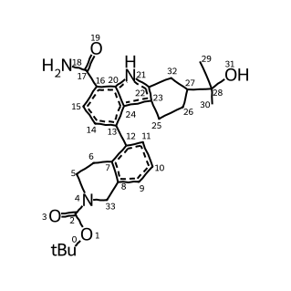 CC(C)(C)OC(=O)N1CCc2c(cccc2-c2ccc(C(N)=O)c3[nH]c4c(c23)CCC(C(C)(C)O)C4)C1